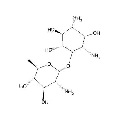 C[C@H]1O[C@H](OC2[C@@H](N)C(O)[C@@H](N)[C@H](O)[C@H]2O)[C@H](N)[C@@H](O)[C@@H]1O